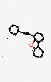 C(#Cc1cccc2c1oc1ccccc12)c1cc[c]cc1